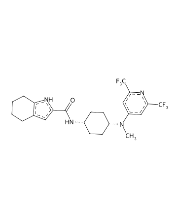 CN(c1cc(C(F)(F)F)nc(C(F)(F)F)c1)[C@H]1CC[C@@H](NC(=O)c2cc3c([nH]2)CCCC3)CC1